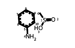 CS(=O)O.Nc1ccccc1